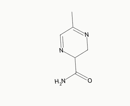 CC1=NCC(C(N)=O)N=C1